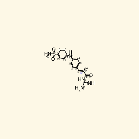 CNS(=O)(=O)c1ccc(Nc2ccc(/C=C(\C)C(=O)NC(=N)N)cc2)cc1